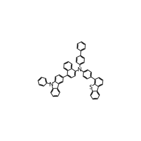 c1ccc(-c2ccc(N(c3ccc(-c4cccc5c4sc4ccccc45)cc3)c3ccc(-c4ccc5c(c4)c4ccccc4n5-c4ccccc4)c4ccccc34)cc2)cc1